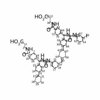 O=C(O)CCNC(=O)c1ccc(C(NC(=O)Nc2cccc(I)c2)c2ccc(C3=CCCCC3)cc2)cc1.O=C(O)CCNC(=O)c1ccc(C(NC(=O)Nc2cccc(I)c2)c2ccc(C3CCCCC3)cc2)cc1